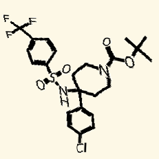 CC(C)(C)OC(=O)N1CCC(NS(=O)(=O)c2ccc(C(F)(F)F)cc2)(c2ccc(Cl)cc2)CC1